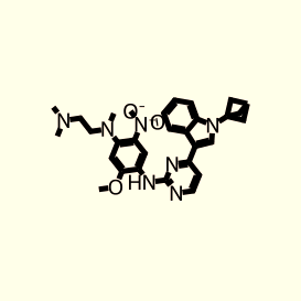 COc1cc(N(C)CCN(C)C)c([N+](=O)[O-])cc1Nc1nccc(-c2cn(C34CC(C3)C4)c3ccccc23)n1